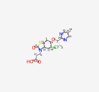 CC[C@H](Oc1cc2sc(=O)n(CCC(=O)O)c2cc1Cl)c1ncc(C)cn1